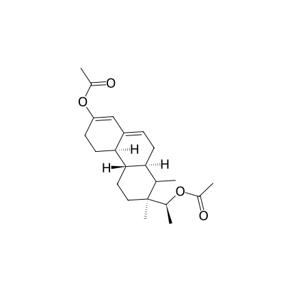 CC(=O)OC1=CC2=CC[C@H]3C(C)[C@@](C)([C@H](C)OC(C)=O)CC[C@@H]3[C@H]2CC1